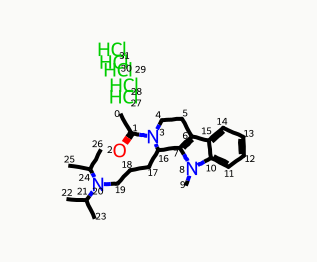 CC(=O)N1CCc2c(n(C)c3ccccc23)C1CCCN(C(C)C)C(C)C.Cl.Cl.Cl.Cl.Cl